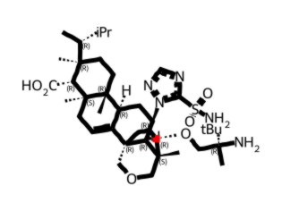 CC(C)[C@@H](C)[C@@]1(C)CC[C@]2(C)[C@H]3CC[C@@H]4[C@@]5(COC[C@@]4(C)[C@@H](OC[C@](C)(N)C(C)(C)C)[C@H](n4ncnc4S(N)(=O)=O)C5)C3=CC[C@@]2(C)[C@@H]1C(=O)O